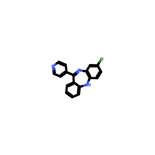 Clc1ccc2c(c1)N=C(c1ccncc1)c1ccccc1N2